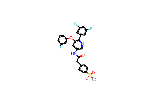 CCS(=O)(=O)c1ccc(CC(=O)Nc2cnc(-c3cc(F)cc(F)c3)c(Oc3cccc(F)c3)c2)cc1